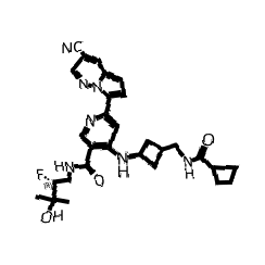 CC(C)(O)[C@H](F)CNC(=O)c1cnc(-c2ccc3cc(C#N)cnn23)cc1NC1CC(CNC(=O)C2CCC2)C1